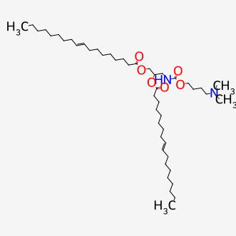 CCCCCCCCC=CCCCCCCCC(=O)OCC(CNC(=O)OCCCCN(C)C)OC(=O)CCCCCCCC=CCCCCCCCC